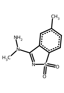 Cc1ccc2c(c1)C(N(C)N)=NS2(=O)=O